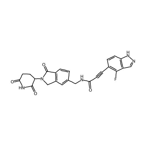 O=C(C#Cc1ccc2[nH]ncc2c1F)NCc1ccc2c(c1)CN(C1CCC(=O)NC1=O)C2=O